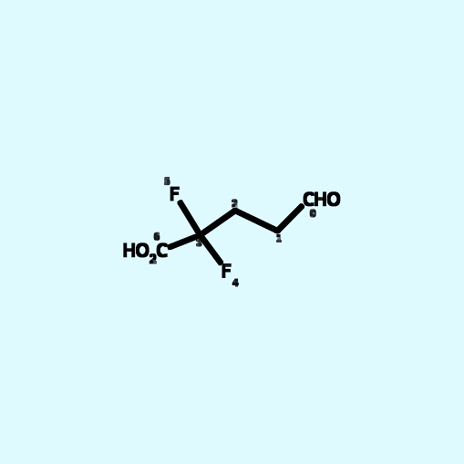 O=CCCC(F)(F)C(=O)O